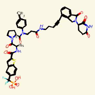 CC(C)(C)C(NC(=O)c1cc2cc(C(F)(F)P(=O)(O)O)ccc2s1)C(=O)N1CCC[C@H]1C(=O)N(CCC(=O)NCCCC#Cc1cccc2c1CN(C1CCC(=O)NC1=O)C2=O)c1ccc(C(F)(F)F)cc1